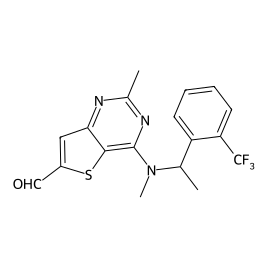 Cc1nc(N(C)C(C)c2ccccc2C(F)(F)F)c2sc(C=O)cc2n1